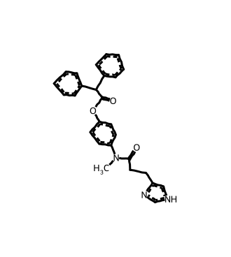 CN(C(=O)CCc1c[nH]cn1)c1ccc(OC(=O)C(c2ccccc2)c2ccccc2)cc1